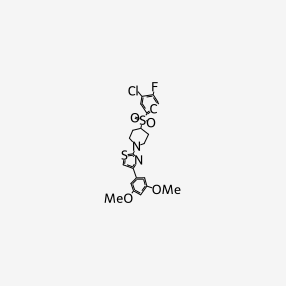 COc1cc(OC)cc(-c2csc(N3CCC(S(=O)(=O)c4ccc(F)c(Cl)c4)CC3)n2)c1